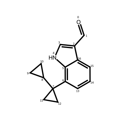 O=Cc1c[nH]c2c(C3(C4CC4)CC3)cccc12